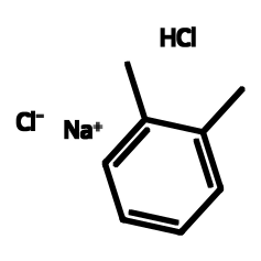 Cc1ccccc1C.Cl.[Cl-].[Na+]